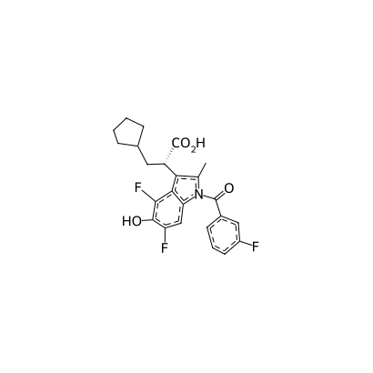 Cc1c([C@H](CC2CCCC2)C(=O)O)c2c(F)c(O)c(F)cc2n1C(=O)c1cccc(F)c1